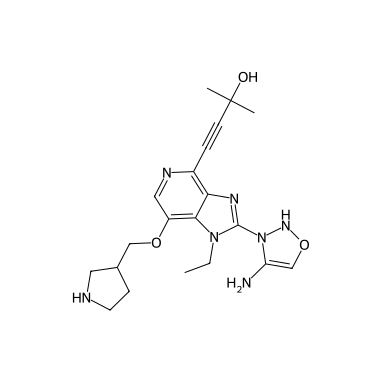 CCn1c(N2NOC=C2N)nc2c(C#CC(C)(C)O)ncc(OCC3CCNC3)c21